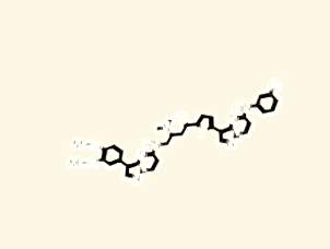 COc1ccc(-c2cnn3ccc(NCC(CC(=O)c4ccc(-c5cnn6ccc(Nc7cccc(Cl)c7)nc56)s4)N(C)C)nc23)cc1OC